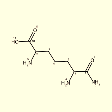 NC(=O)C(N)CCCC(N)C(=O)O